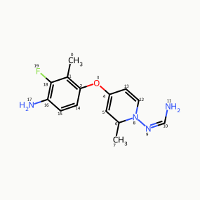 Cc1c(OC2=CC(C)N(/N=C\N)C=C2)ccc(N)c1F